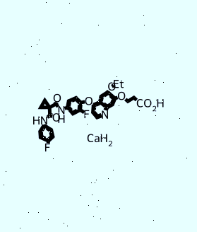 CCOc1cc2c(Oc3ccc(NC(=O)C4(C(=O)Nc5ccc(F)cc5)CC4)cc3F)ccnc2cc1OCCC(=O)O.[CaH2]